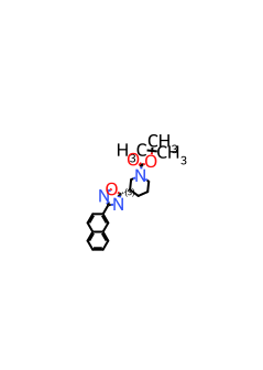 CC(C)(C)OC(=O)N1CCC[C@H](c2nc(-c3ccc4ccccc4c3)no2)C1